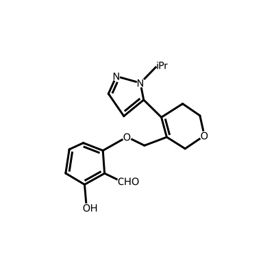 CC(C)n1nccc1C1=C(COc2cccc(O)c2C=O)COCC1